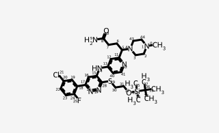 CN1CCN(C(CCC(N)=O)c2cc(Nc3cc(-c4cc(Cl)ccc4F)nnc3SCCO[Si](C)(C)C(C)(C)C)ccn2)CC1